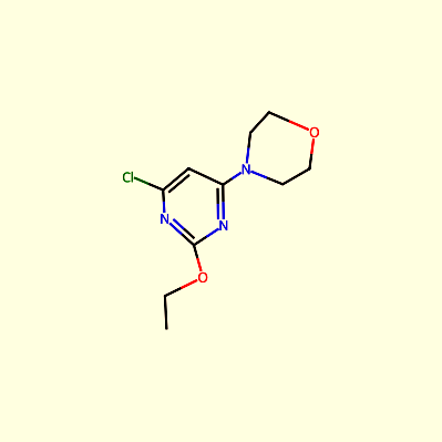 CCOc1nc(Cl)cc(N2CCOCC2)n1